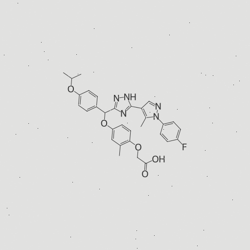 Cc1cc(OC(c2ccc(OC(C)C)cc2)c2n[nH]c(-c3cnn(-c4ccc(F)cc4)c3C)n2)ccc1OCC(=O)O